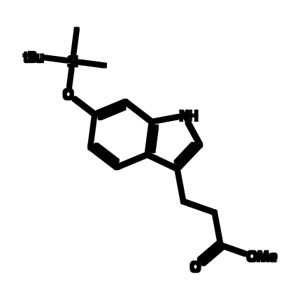 COC(=O)CCc1c[nH]c2cc(O[Si](C)(C)C(C)(C)C)ccc12